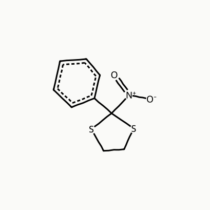 O=[N+]([O-])C1(c2ccccc2)SCCS1